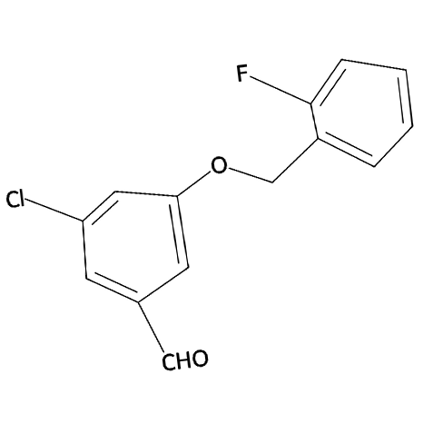 O=Cc1cc(Cl)cc(OCc2ccccc2F)c1